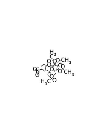 CC(=O)OCC1O[C@@H](Oc2ccc([N+](=O)[O-])cc2C=O)[C@@H](OC(C)=O)C(OC(C)=O)[C@H]1OC(C)=O